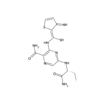 CC[C@@H](Nc1cnc(C(N)=O)c(N/C(S)=C2\SC=CC2=N)n1)C(N)=O